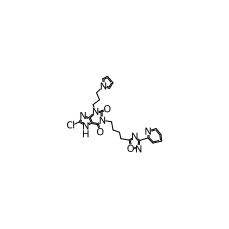 O=c1c2[nH]c(Cl)nc2n(CCCn2cccc2)c(=O)n1CCCCc1nc(-c2ccccn2)no1